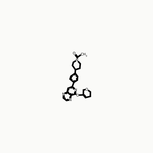 CC(=O)N1CCC(c2ccc(-c3cc4nccnc4c(OC4=CCCOC4)n3)cc2)CC1